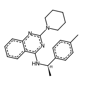 Cc1ccc([C@@H](C)Nc2nc(N3CCCCC3)nc3ccccc23)cc1